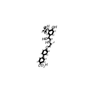 C[C@H](COc1ccc(-c2ccc(C(=O)O)cc2)cc1)NC[C@H](O)c1ccc(O)c(NS(C)(=O)=O)c1